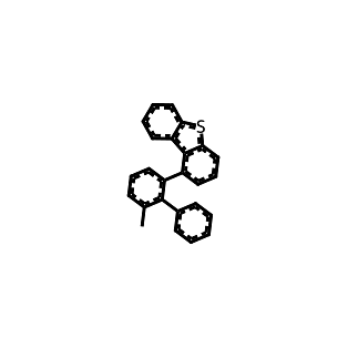 Cc1cccc(-c2cccc3sc4ccccc4c23)c1-c1ccccc1